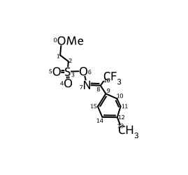 COCCS(=O)(=O)ON=C(c1ccc(C)cc1)C(F)(F)F